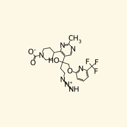 Cc1ncc(C(O)(CCN=[N+]=N)COc2cccc(C(F)(F)F)n2)c(C2CCN(C(=O)[O-])CC2)n1